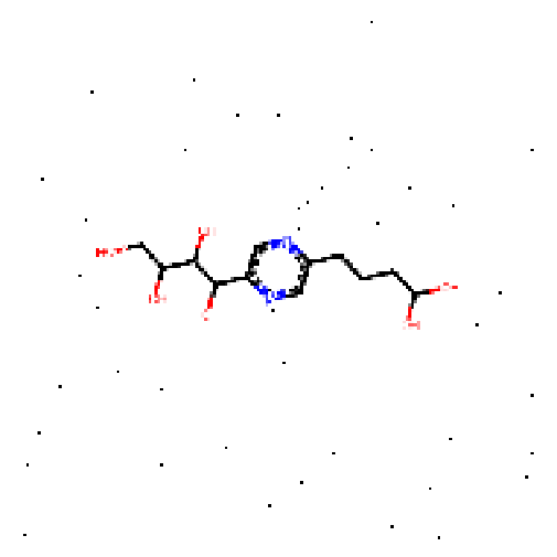 OCC(O)C(O)C(O)c1cnc(CCCC(O)O)cn1